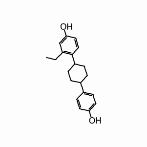 CCc1cc(O)ccc1C1CCC(c2ccc(O)cc2)CC1